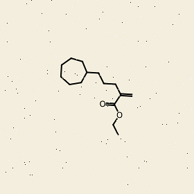 C=C(CCCC1CCCCCC1)C(=O)OCC